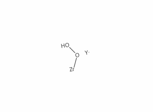 O[O][Zr].[Y]